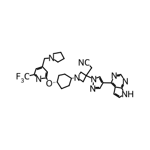 N#CCC1(n2cc(-c3ncnc4[nH]ccc34)cn2)CN([C@H]2CC[C@@H](Oc3cc(CN4CCCC4)cc(C(F)(F)F)n3)CC2)C1